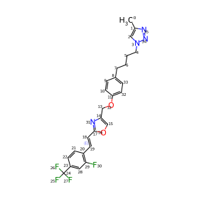 Cc1cn(CCCCc2ccc(OCc3coc(/C=C/c4ccc(C(F)(F)F)cc4F)n3)cc2)nn1